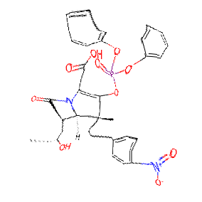 C[C@@H](O)[C@H]1C(=O)N2C(C(=O)O)=C(OP(=O)(Oc3ccccc3)Oc3ccccc3)[C@](C)(Cc3ccc([N+](=O)[O-])cc3)[C@@H]12